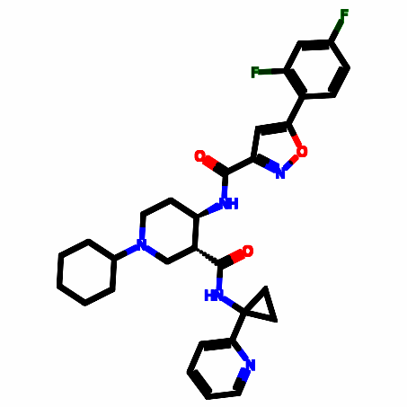 O=C(N[C@@H]1CCN(C2CCCCC2)C[C@H]1C(=O)NC1(c2ccccn2)CC1)c1cc(-c2ccc(F)cc2F)on1